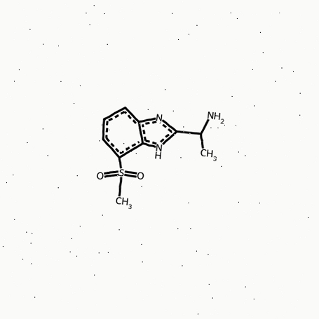 CC(N)c1nc2cccc(S(C)(=O)=O)c2[nH]1